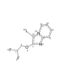 FC(F)COc1nc2ccccn2c1I